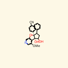 COc1cncc2c1[C@]1(O)C(O)CC(c3ccccc3)[C@]1(c1ccc(C#N)cc1)O2